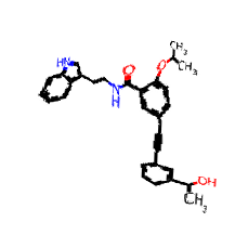 CC(C)Oc1ccc(C#Cc2cccc(C(C)O)c2)cc1C(=O)NCCc1c[nH]c2ccccc12